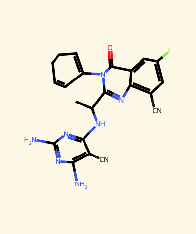 CC(Nc1nc(N)nc(N)c1C#N)c1nc2c(C#N)cc(F)cc2c(=O)n1C1=CCCC=C1